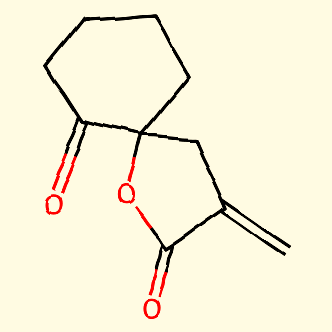 C=C1CC2(CCCCC2=O)OC1=O